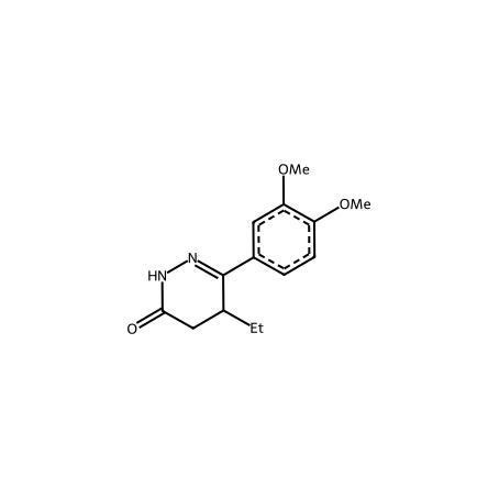 CCC1CC(=O)NN=C1c1ccc(OC)c(OC)c1